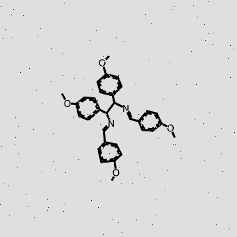 COc1ccc(C=NC(c2ccc(OC)cc2)C(N=Cc2ccc(OC)cc2)c2ccc(OC)cc2)cc1